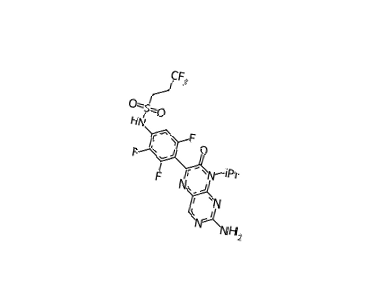 CC(C)n1c(=O)c(-c2c(F)cc(NS(=O)(=O)CCC(F)(F)F)c(F)c2F)nc2cnc(N)nc21